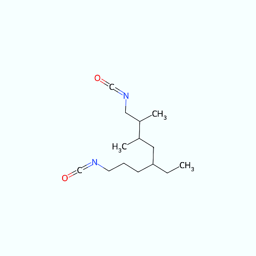 CCC(CCCN=C=O)CC(C)C(C)CN=C=O